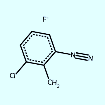 Cc1c(Cl)cccc1[N+]#N.[F-]